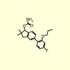 CCCOc1cc(F)ccc1-c1ccc2c(c1)CC(C)(C)C2OC(N)=O